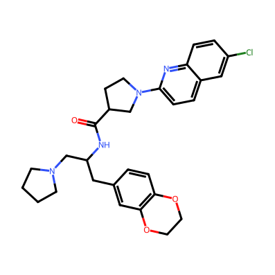 O=C(NC(Cc1ccc2c(c1)OCCO2)CN1CCCC1)C1CCN(c2ccc3cc(Cl)ccc3n2)C1